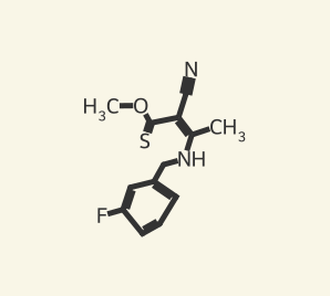 COC(=S)C(C#N)=C(C)NCc1cccc(F)c1